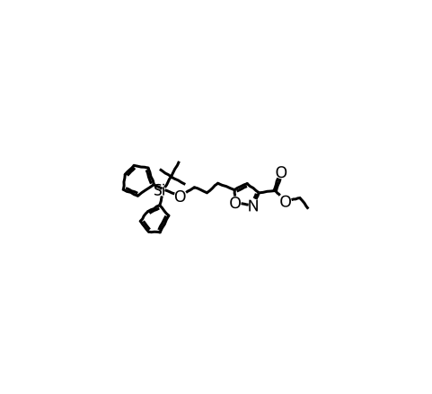 CCOC(=O)c1cc(CCCO[Si](c2ccccc2)(c2ccccc2)C(C)(C)C)on1